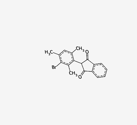 Cc1cc(C)c(C2C(=O)c3ccccc3C2=O)c(C)c1Br